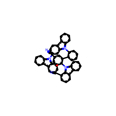 N#Cc1ccc(-n2c3ccccc3c3cccc(C#N)c32)c(-c2ccccc2-n2c3ccccc3c3ccc(-n4c5ccccc5c5ccccc54)cc32)c1